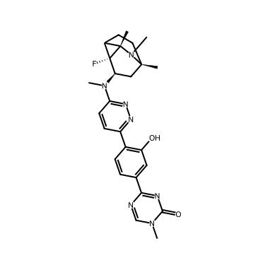 CN(c1ccc(-c2ccc(-c3ncn(C)c(=O)n3)cc2O)nn1)[C@@H]1C[C@@]2(C)CCC3[C@@]1(F)[C@@]3(C)N2C